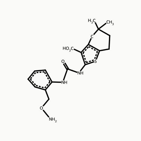 CC1(C)CCc2sc(NC(=O)Nc3ccccc3CON)c(C(=O)O)c2C1